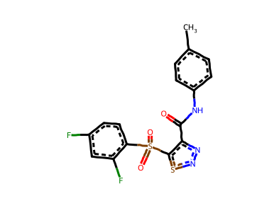 Cc1ccc(NC(=O)c2nnsc2S(=O)(=O)c2ccc(F)cc2F)cc1